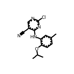 Cc1ccc(OC(C)C)c(Nc2nc(Cl)ncc2C#N)c1